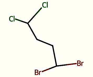 ClC(Cl)CCC(Br)Br